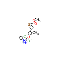 COC(=O)c1csc2cc(-c3ccc(OCc4c(C(F)(F)F)nnn4-c4c(Cl)cccc4Cl)cc3C)ccc12